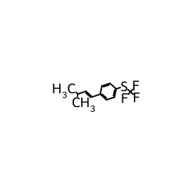 CC(C)/C=C/c1ccc(SC(F)(F)F)cc1